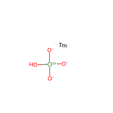 [O-][Cl+3]([O-])([O-])O.[Tm]